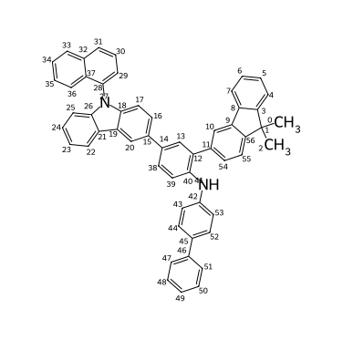 CC1(C)c2ccccc2-c2cc(-c3cc(-c4ccc5c(c4)c4ccccc4n5-c4cccc5ccccc45)ccc3Nc3ccc(-c4ccccc4)cc3)ccc21